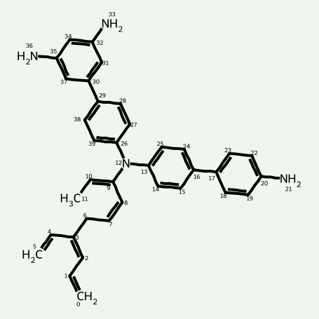 C=C/C=C(\C=C)C/C=C\C(=C/C)N(c1ccc(-c2ccc(N)cc2)cc1)c1ccc(-c2cc(N)cc(N)c2)cc1